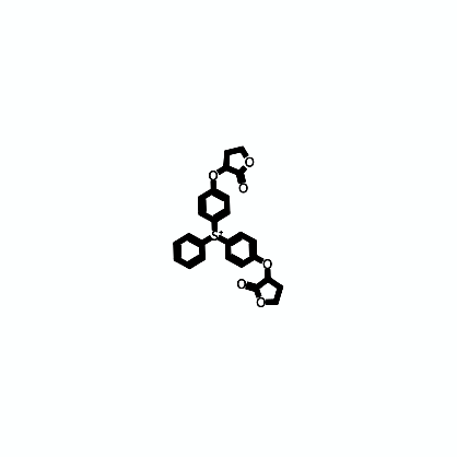 O=C1OCCC1Oc1ccc([S+](c2ccccc2)c2ccc(OC3CCOC3=O)cc2)cc1